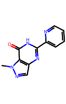 Cn1ncc2nc(-c3ccccn3)[nH]c(=O)c21